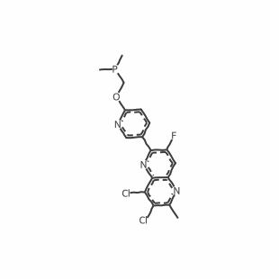 Cc1nc2cc(F)c(-c3ccc(OCP(C)C)nc3)nc2c(Cl)c1Cl